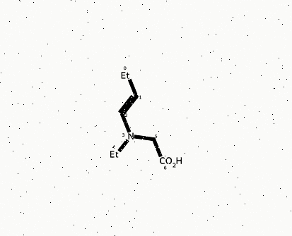 CCC=CN(CC)CC(=O)O